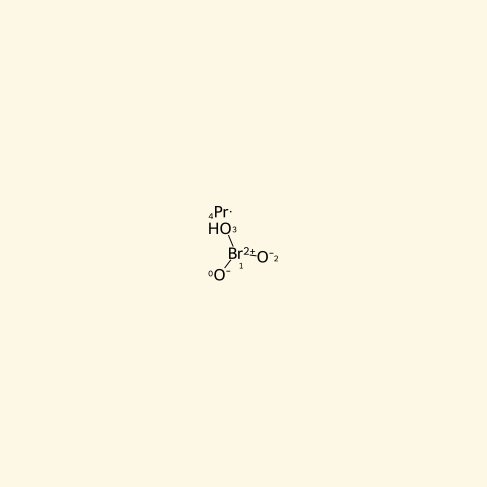 [O-][Br+2]([O-])O.[Pr]